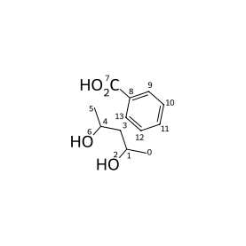 CC(O)CC(C)O.O=C(O)c1ccccc1